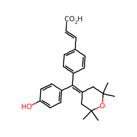 CC1(C)CC(=C(c2ccc(O)cc2)c2ccc(/C=C/C(=O)O)cc2)CC(C)(C)O1